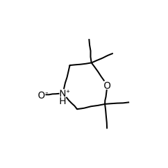 CC1(C)C[NH+]([O-])CC(C)(C)O1